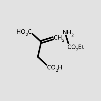 C=C(CC(=O)O)C(=O)O.CCOC(N)=O